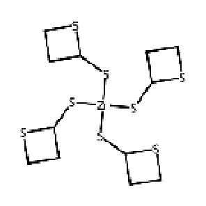 C1CC([S][Zr]([S]C2CCS2)([S]C2CCS2)[S]C2CCS2)S1